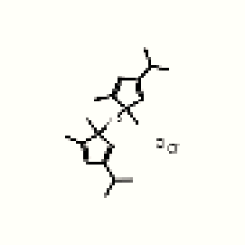 CC1=CC(C(C)C)=C[C]1(C)[Zr+2][C]1(C)C=C(C(C)C)C=C1C.[Cl-].[Cl-]